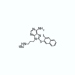 CC(C)(C)NCCCn1c(Sc2cc3ccccc3cc2I)nc2c(N)ncnc21